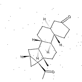 CC(=O)[C@@]12C[C@@H]1C[C@H]1[C@@H]3CC[C@H]4CC(=O)CC[C@@H]4[C@H]3CC[C@@]12C